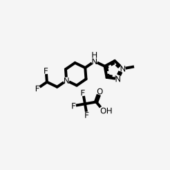 Cn1cc(NC2CCN(CC(F)F)CC2)cn1.O=C(O)C(F)(F)F